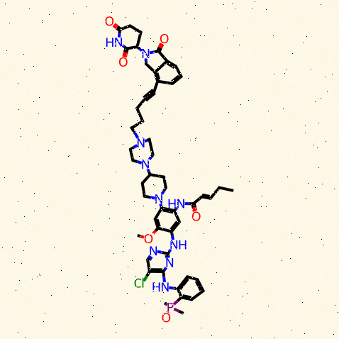 CCC=CC(=O)Nc1cc(Nc2ncc(Cl)c(Nc3ccccc3P(C)(C)=O)n2)c(OC)cc1N1CCC(N2CCN(CCCC#Cc3cccc4c3CN(C3CCC(=O)NC3=O)C4=O)CC2)CC1